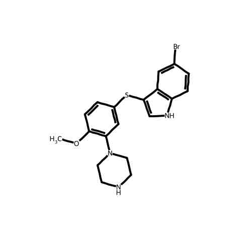 COc1ccc(Sc2c[nH]c3ccc(Br)cc23)cc1N1CCNCC1